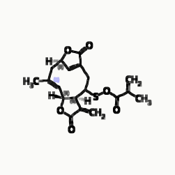 C=C(C)C(=O)OSC1CC2=C[C@@H](C/C(C)=C/[C@H]3OC(=O)C(=C)[C@H]13)OC2=O